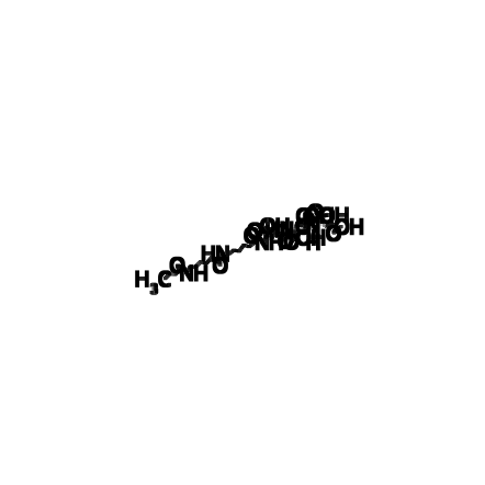 CCCC(=O)NCCCCCC(=O)NCCCCCC(=O)N[C@@H](CCC(=O)N[C@@H](COP(=O)(O)N[C@@H](CCC(=O)O)C(=O)O)C(=O)O)C(=O)O